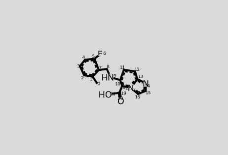 Cc1cccc(F)c1CNc1ccc2nccn2c1C(=O)O